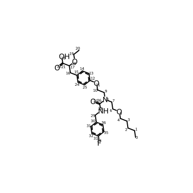 CCCCCOCCN(CCOc1ccc(CC(OCC)C(=O)O)cc1)C(=O)NCc1ccc(F)cc1